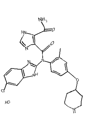 Cc1cc(OC2CCNCC2)ccc1N(C(=O)c1nc[nH]c1C(N)=O)c1nc2ccc(Cl)cc2[nH]1.Cl